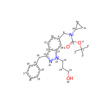 CC(C)(C)OC(=O)N(Cc1ccc2c(Cc3ccccc3)nn(CCCO)c2c1)C1CC1